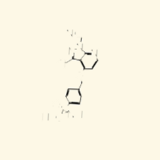 CS(=N)(=O)c1ccc(COc2ccnc3c2c(Cl)nn3CC#N)cc1